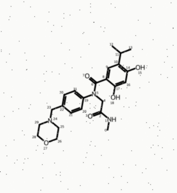 CNC(=O)CN(C(=O)c1cc(C(C)C)c(O)cc1O)c1ccc(CN2CCOCC2)cc1